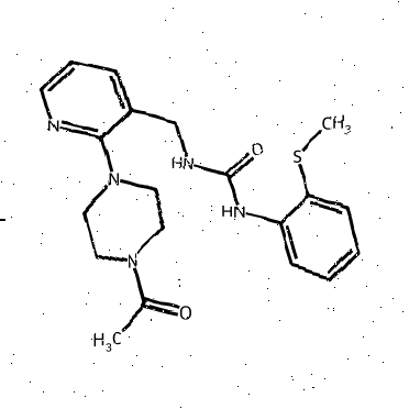 CSc1ccccc1NC(=O)NCc1cccnc1N1CCN(C(C)=O)CC1